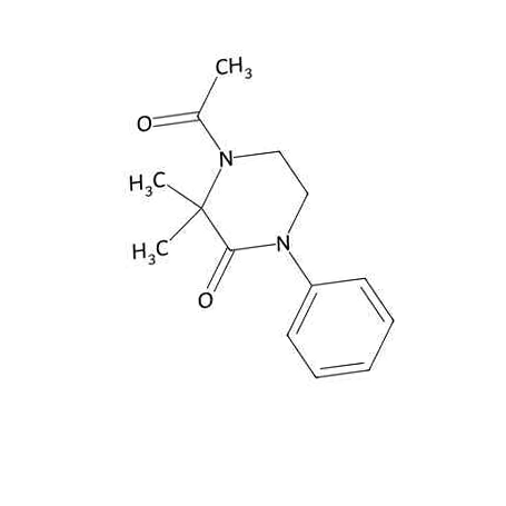 CC(=O)N1CCN(c2ccccc2)C(=O)C1(C)C